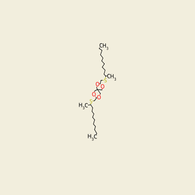 CCCCCCCCCCC(C)SCC1OCC2(CO1)COC(CSC(C)CCCCCCCCCC)OC2